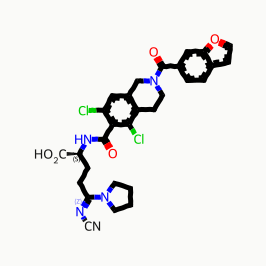 N#C/N=C(/CC[C@H](NC(=O)c1c(Cl)cc2c(c1Cl)CCN(C(=O)c1ccc3ccoc3c1)C2)C(=O)O)N1CCCC1